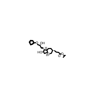 CC(C)OC(=O)CCC[C@H]1CC[C@@H]2[C@@H](C=C[C@@H](O)COc3ccccc3)[C@H](O)C[C@@H]2OC1